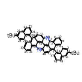 CC(C)(C)c1ccc2c(-c3c4ccccc4c4nc5ccc6c(-c7cccc8cc(C(C)(C)C)ccc78)c7ccccc7c7nc8ccc3c4c8c5c67)cccc2c1